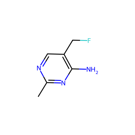 Cc1ncc(CF)c(N)n1